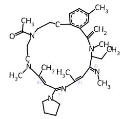 C=C1c2cc(C)ccc2CCCN(C(C)=O)CCN(C)/C(C)=C/C(N2CCCC2)=N\C(C)=C\C(=N/C)C(CC)N1C